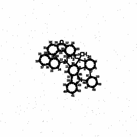 CC1(C)c2cccc3c2-c2c1c(N(c1ccc4ccccc4c1)c1cccc4oc5ccccc5c14)cc1c4ccccc4n(c21)-c1ccccc1-3